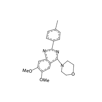 COc1cc2nc(-c3ccc(C)cc3)nc(N3CCOCC3)c2cc1OC